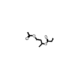 CCC(=O)O[C](C)CCOC(C)=O